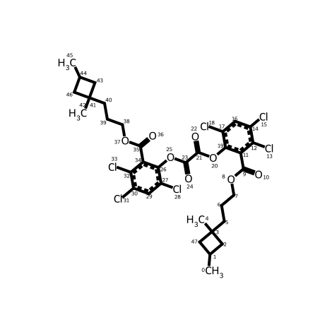 CC1CC(C)(CCCOC(=O)c2c(Cl)c(Cl)cc(Cl)c2OC(=O)C(=O)Oc2c(Cl)cc(Cl)c(Cl)c2C(=O)OCCCC2(C)CC(C)C2)C1